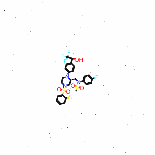 C[C@](O)(c1ccc(N2CCN(S(=O)(=O)C3=CC=CCC3=S)C[C@@H]2CN(c2ccc(F)cc2)S(C)(=O)=O)cc1)C(F)(F)F